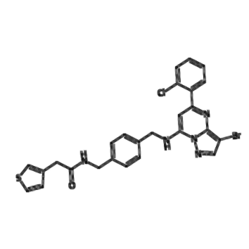 O=C(Cc1ccsc1)NCc1ccc(CNc2cc(-c3ccccc3Cl)nc3c(Br)cnn23)cc1